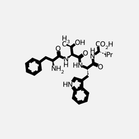 CC(C)[C@H](NC(=O)[C@H](Cc1c[nH]c2ccccc12)NC(=O)[C@@H](NC(=O)[C@@H](N)Cc1ccccc1)[C@@H](C)O)C(=O)O